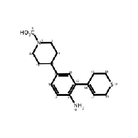 Nc1ccc(C2CCN(C(=O)O)CC2)cc1C1=CCSCC1